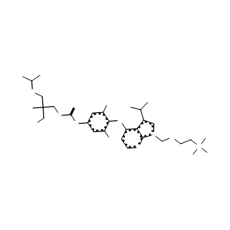 CC(C)OCC(C)(CO)CNC(=S)Nc1cc(F)c(Oc2ccnc3c2c(C(C)C)cn3COCC[Si](C)(C)C)c(F)c1